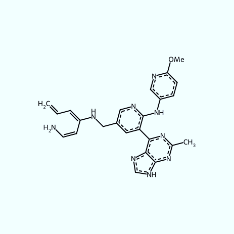 C=C/C=C(\C=C/N)NCc1cnc(Nc2ccc(OC)nc2)c(-c2nc(C)nc3[nH]cnc23)c1